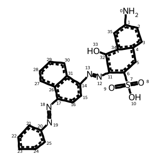 Nc1ccc2cc(S(=O)(=O)O)c(N=Nc3ccc(N=Nc4ccccc4)c4ccccc34)c(O)c2c1